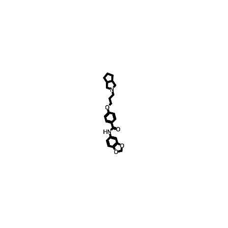 O=C(Nc1ccc2c(c1)OCO2)c1ccc(OCCCN2CC3CCCC3C2)cc1